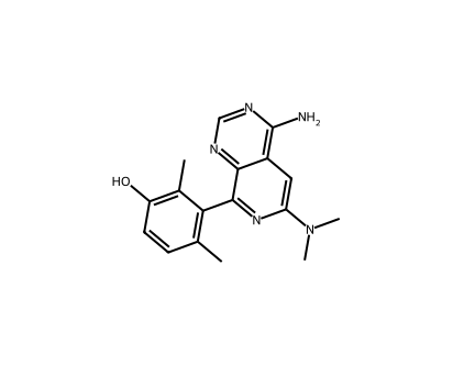 Cc1ccc(O)c(C)c1-c1nc(N(C)C)cc2c(N)ncnc12